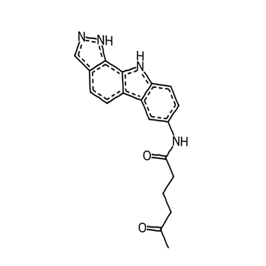 CC(=O)CCCC(=O)Nc1ccc2[nH]c3c(ccc4cn[nH]c43)c2c1